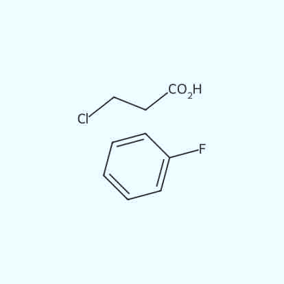 Fc1ccccc1.O=C(O)CCCl